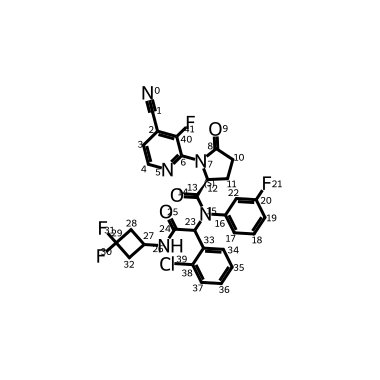 N#Cc1ccnc(N2C(=O)CC[C@H]2C(=O)N(c2cccc(F)c2)C(C(=O)NC2CC(F)(F)C2)c2ccccc2Cl)c1F